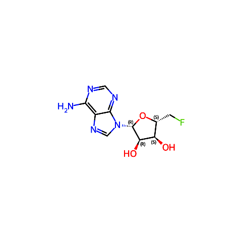 Nc1ncnc2c1ncn2[C@@H]1O[C@H](CF)[C@@H](O)[C@H]1O